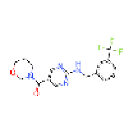 O=C(c1cnc(NCc2cccc(C(F)(F)F)c2)nc1)N1CCCOC1